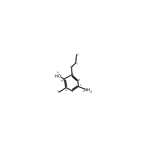 CCCc1cc(N)cc(C)c1O